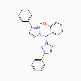 Oc1ccccc1C(n1ccc(-c2ccccc2)n1)n1ccc(-c2ccccc2)n1